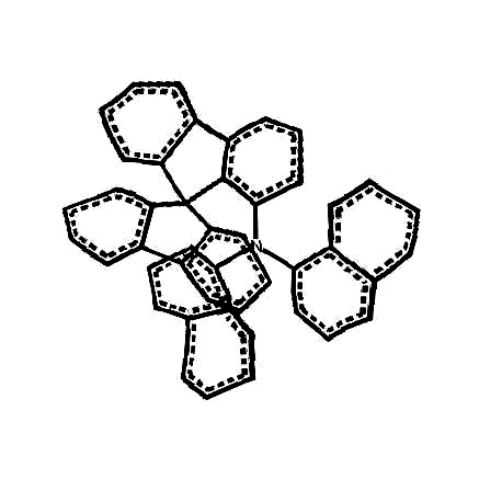 c1ccc2c(c1)-c1ccccc1C21c2ccccc2-c2cccc(N(c3cccc4ccccc34)c3cccc4ccccc34)c21